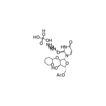 CC(=O)OC[C@H]1O[C@@H](n2ccc(=O)[nH]c2=O)[C@H](OC2CCCCO2)[C@@H]1O.N.N.N.O=P(O)(O)O